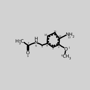 COc1cc(CNC(C)=O)ccc1N